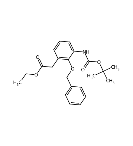 CCOC(=O)Cc1cccc(NC(=O)OC(C)(C)C)c1OCc1ccccc1